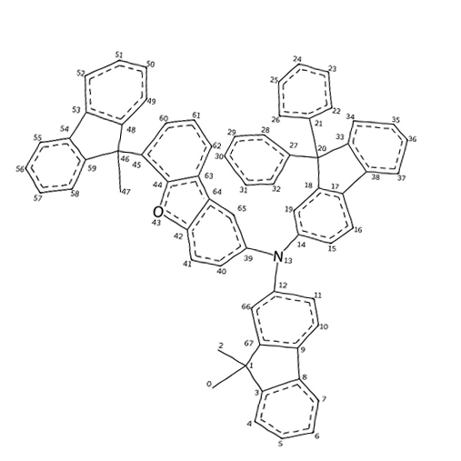 CC1(C)c2ccccc2-c2ccc(N(c3ccc4c(c3)C(c3ccccc3)(c3ccccc3)c3ccccc3-4)c3ccc4oc5c(C6(C)c7ccccc7-c7ccccc76)cccc5c4c3)cc21